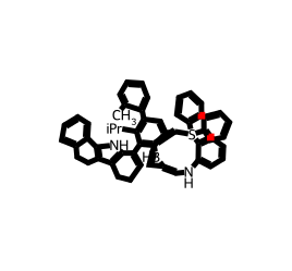 Cc1ccccc1-c1cc2c(c(C3=CCCc4c3[nH]c3c4CCc4ccccc4-3)c1C(C)C)BC1=C\Nc3ccccc3S(c3ccccc3)(c3ccccc3)/C2=C/C=C\1